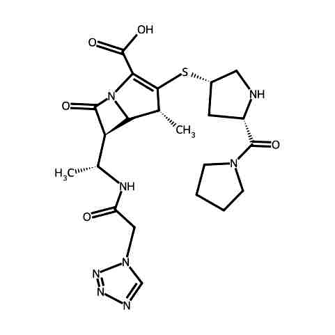 C[C@H]1C(S[C@@H]2CN[C@H](C(=O)N3CCCC3)C2)=C(C(=O)O)N2C(=O)[C@H]([C@@H](C)NC(=O)Cn3cnnn3)C12